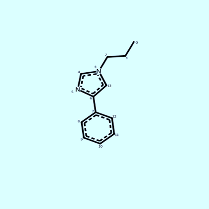 CCCn1cnc(-c2ccccc2)c1